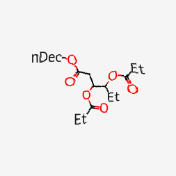 CCCCCCCCCCOC(=O)CC(OC(=O)CC)C(CC)OC(=O)CC